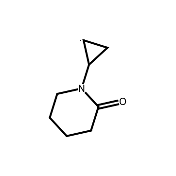 O=C1CCCCN1C1[CH]C1